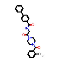 O=C(NCC(=O)N1CCN(C(=O)c2ccccc2C(F)(F)F)CC1)c1ccc(-c2ccccc2)cc1